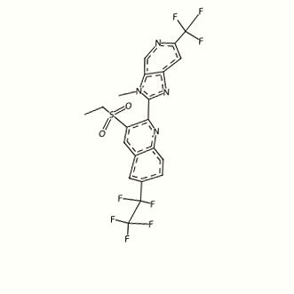 CCS(=O)(=O)c1cc2cc(C(F)(F)C(F)(F)F)ccc2nc1-c1nc2cc(C(F)(F)F)ncc2n1C